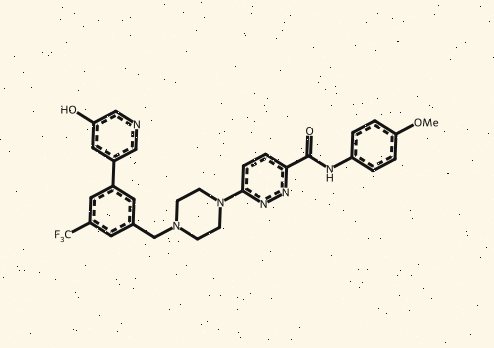 COc1ccc(NC(=O)c2ccc(N3CCN(Cc4cc(-c5cncc(O)c5)cc(C(F)(F)F)c4)CC3)nn2)cc1